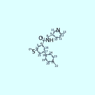 CSc1cc(C(=O)NCc2ccc(C)nc2)cc(-c2ccc(C)cc2)c1